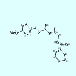 COc1ccc(COC(F)/C=C(\C)COC(=O)c2ccccc2)cc1